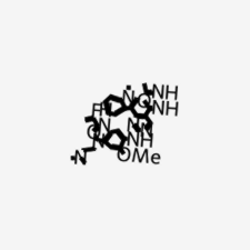 C=C(F)C(=O)Nc1cc(Nc2ncc(C(=N)OC(C)=N)c(-c3cn(C)c4ccccc34)n2)c(OC)cc1N(C)CCN(C)C